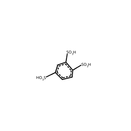 O=S(=O)(O)c1[c]c(S(=O)(=O)O)c(S(=O)(=O)O)cc1